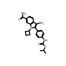 CC(C)OC(=O)Nc1ccc(-c2c(N)c3ccc(C(N)=O)cc3n2C2CCC2)cc1